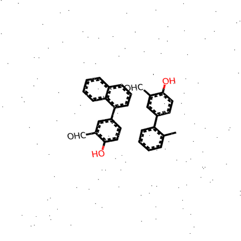 Cc1ccccc1-c1ccc(O)c(C=O)c1.O=Cc1cc(-c2cccc3ccccc23)ccc1O